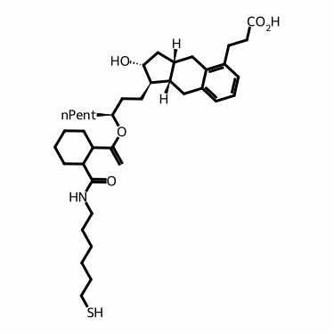 C=C(O[C@@H](CCCCC)CC[C@@H]1[C@H]2Cc3cccc(CCC(=O)O)c3C[C@H]2C[C@H]1O)C1CCCCC1C(=O)NCCCCCCS